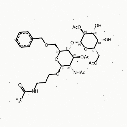 CC(=O)N[C@@H]1[C@@H](OCCCNC(=O)C(F)(F)F)O[C@@H](COCc2ccccc2)[C@H](O[C@H]2O[C@@H](COC(C)=O)[C@@H](O)[C@@H](O)[C@@H]2OC(C)=O)[C@H]1OC(C)=O